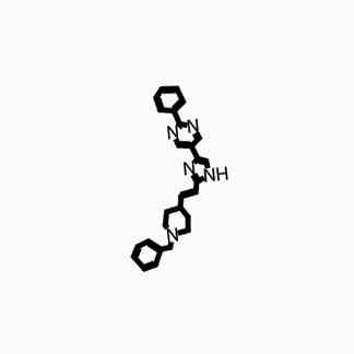 C(=C\C1CCN(Cc2ccccc2)CC1)/c1nc(-c2cnc(-c3ccccc3)nc2)c[nH]1